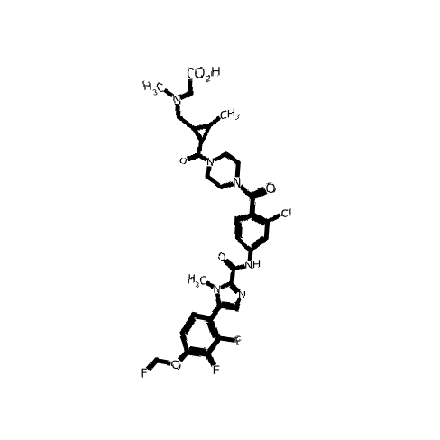 CC1C(CN(C)CC(=O)O)C1C(=O)N1CCN(C(=O)c2ccc(NC(=O)c3ncc(-c4ccc(OCF)c(F)c4F)n3C)cc2Cl)CC1